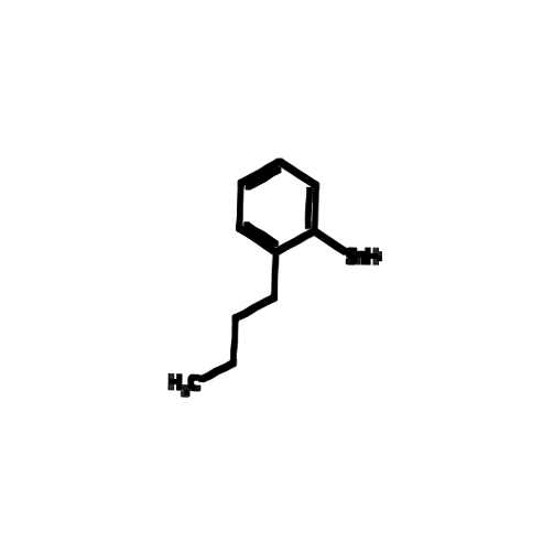 CCCCc1cccc[c]1[SnH]